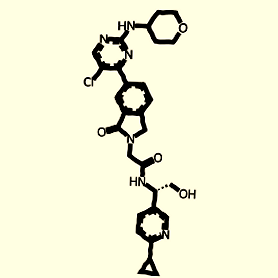 O=C(CN1Cc2ccc(-c3nc(NC4CCOCC4)ncc3Cl)cc2C1=O)N[C@H](CO)c1ccc(C2CC2)nc1